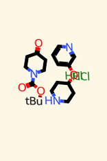 CC(C)(C)OC(=O)N1CCC(=O)CC1.Cl.Cl.c1cncc(OC2CCNCC2)c1